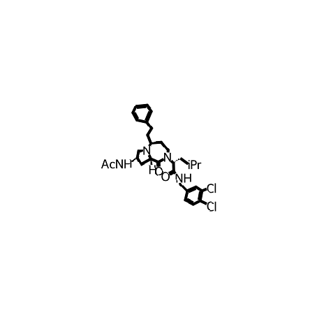 CC(=O)N[C@@H]1C[C@H]2C(=O)N([C@H](CC(C)C)C(=O)NCc3ccc(Cl)c(Cl)c3)CCC(CCc3ccccc3)N2C1